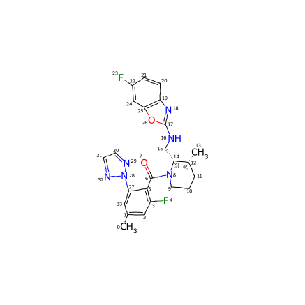 Cc1cc(F)c(C(=O)N2CCC[C@@H](C)[C@H]2CNc2nc3ccc(F)cc3o2)c(-n2nccn2)c1